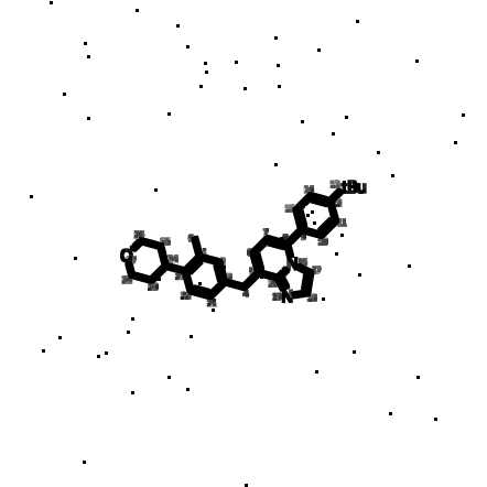 Cc1cc(Cc2ccc(-c3ccc(C(C)(C)C)cc3)n3ccnc23)ccc1C1CCOCC1